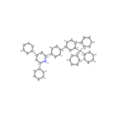 c1ccc(-c2cc(-c3ccccc3)nc(-c3ccc(-c4ccc5c(c4)C(c4ccccc4)(c4ccccc4)c4ccccc4-5)cc3)c2)cc1